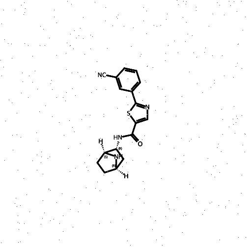 N#Cc1cccc(-c2ncc(C(=O)N[C@@H]3C[C@H]4CC[C@@H]3N4)s2)c1